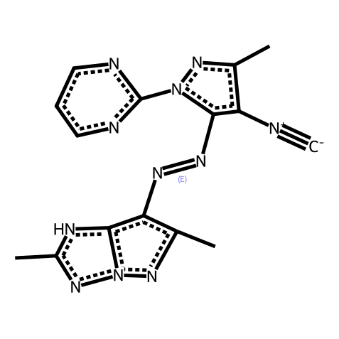 [C-]#[N+]c1c(C)nn(-c2ncccn2)c1/N=N/c1c(C)nn2nc(C)[nH]c12